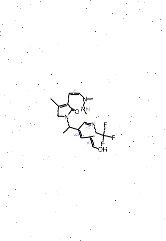 CNN(C)/C=C\C1=C(C)CN(C(C)C(/C=N\CC(F)(F)F)=C/C(C)=C/O)C1=O